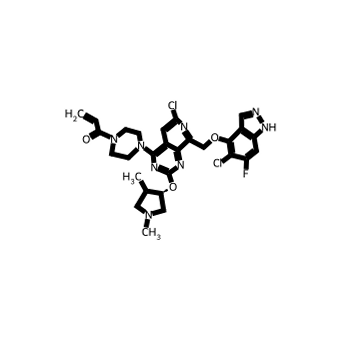 C=CC(=O)N1CCN(c2nc(O[C@@H]3CN(C)CC3C)nc3c(COc4c(Cl)c(F)cc5[nH]ncc45)nc(Cl)cc23)CC1